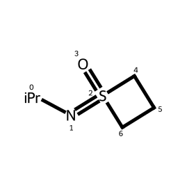 CC(C)N=S1(=O)CCC1